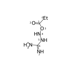 CCC(=O)ONNC(=N)N